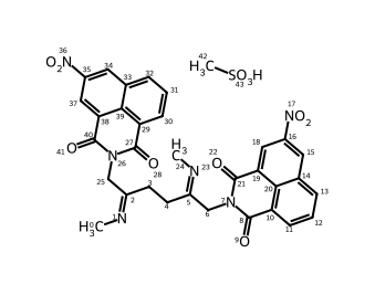 CN=C(CCC(CN1C(=O)c2cccc3cc([N+](=O)[O-])cc(c23)C1=O)=NC)CN1C(=O)c2cccc3cc([N+](=O)[O-])cc(c23)C1=O.CS(=O)(=O)O